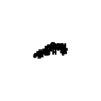 CN/C(=C\C(=N)c1ccccc1C)NC(=O)c1ccc2cc(-c3ccc(F)cc3)cnc2c1